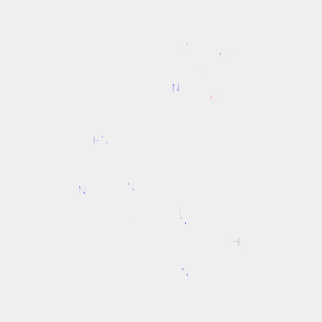 Cc1nc2c([nH]1)-c1nc(NC3CCN(S(C)(=O)=O)CC3)ncc1CC2